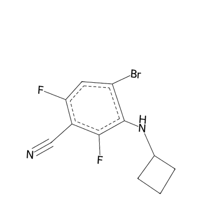 N#Cc1c(F)cc(Br)c(NC2CCC2)c1F